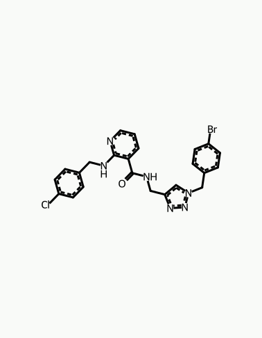 O=C(NCc1cn(Cc2ccc(Br)cc2)nn1)c1cccnc1NCc1ccc(Cl)cc1